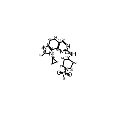 Cc1nc2c(n1C1CC1)-c1nc(NC3CCN(S(C)(=O)=O)CC3)ncc1CC2